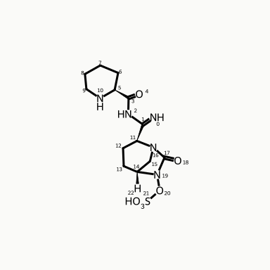 N=C(NC(=O)[C@@H]1CCCCN1)[C@@H]1CC[C@@H]2CN1C(=O)N2OS(=O)(=O)O